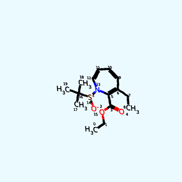 CCOC(=O)C1=C(CC)C=CC=CN1[S+]([O-])C(C)(C)C